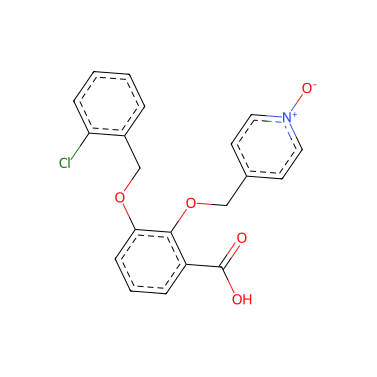 O=C(O)c1cccc(OCc2ccccc2Cl)c1OCc1cc[n+]([O-])cc1